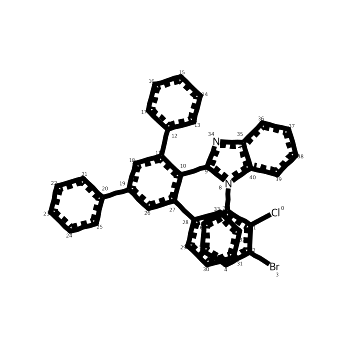 Clc1c(Br)cccc1-n1c(-c2c(-c3ccccc3)cc(-c3ccccc3)cc2-c2ccccc2)nc2ccccc21